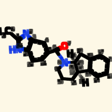 Cc1nc2cc(C(=O)N3CCC[C@@H]4c5ccccc5C[C@@H]43)ccc2[nH]1